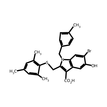 Cc1ccc(Cn2c(CSc3c(C)cc(C)cc3C)c(C(=O)O)c3cc(O)c(Br)cc32)cc1